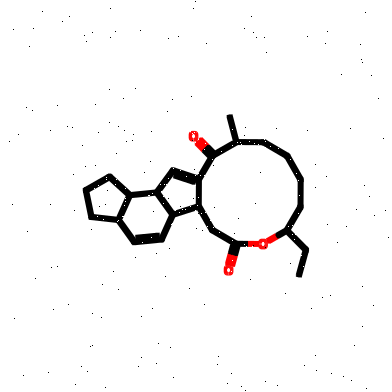 CCC1CCCCC(C)C(=O)C2=CC3C(C=CC4CCCC43)C2CC(=O)O1